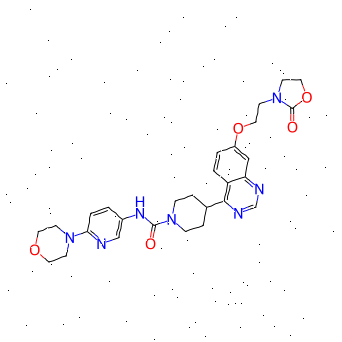 O=C(Nc1ccc(N2CCOCC2)nc1)N1CCC(c2ncnc3cc(OCCN4CCOC4=O)ccc23)CC1